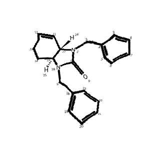 O=C1N(Cc2ccccc2)[C@H]2C=CCC[C@@H]2N1Cc1ccccc1